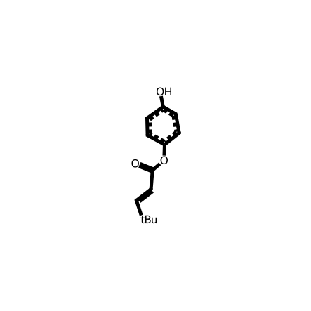 CC(C)(C)/C=C/C(=O)Oc1ccc(O)cc1